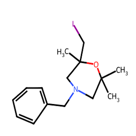 CC1(C)CN(Cc2ccccc2)CC(C)(CI)O1